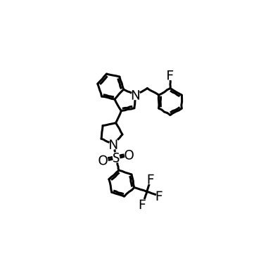 O=S(=O)(c1cccc(C(F)(F)F)c1)N1CCC(c2cn(Cc3ccccc3F)c3ccccc23)C1